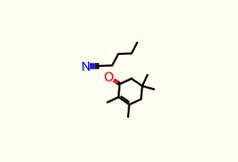 CC1=C(C)C(=O)CC(C)(C)C1.CCCCC#N